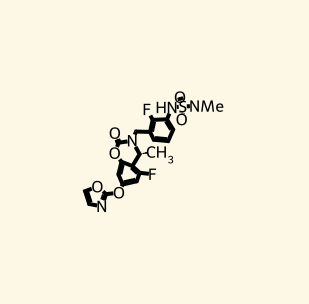 CNS(=O)(=O)Nc1cccc(CN2C(=O)Oc3cc(Oc4ncco4)cc(F)c3[C@H]2C)c1F